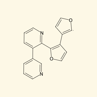 [c]1occc1-c1ccoc1-c1ncccc1-c1cccnc1